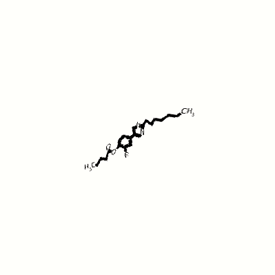 CCCCCCCc1ncc(-c2ccc(OC(=O)CCCC)c(F)c2)cn1